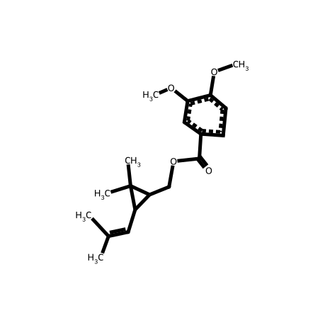 COc1ccc(C(=O)OCC2C(C=C(C)C)C2(C)C)cc1OC